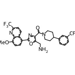 COc1ccc(-c2nc(C(=O)N3CCC(c4cccc(C(F)(F)F)c4)CC3)c(CN)o2)c2ccc(C(F)(F)F)nc12